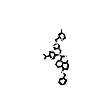 Cc1ccnc(Cn2cc(CN(C(=O)C3CCCc4c(OCc5ccccc5)ccc(C)c43)c3ccc(C(C)C)nc3)cn2)c1